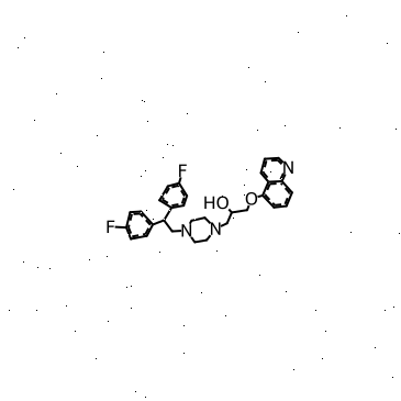 OC(COc1cccc2ncccc12)CN1CCN(CC(c2ccc(F)cc2)c2ccc(F)cc2)CC1